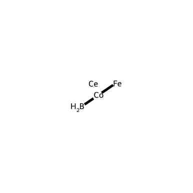 [BH2][Co][Fe].[Ce]